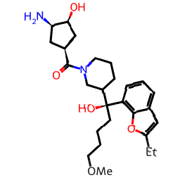 CCc1cc2cccc([C@](O)(CCCCOC)C3CCCN(C(=O)[C@H]4C[C@@H](N)[C@@H](O)C4)C3)c2o1